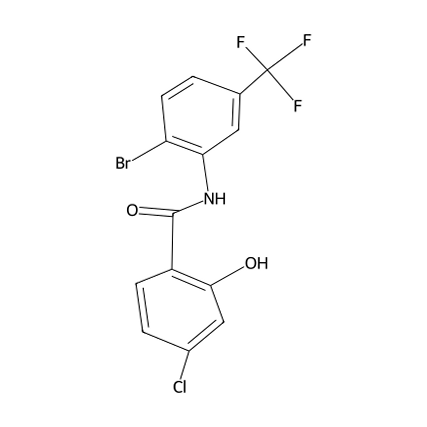 O=C(Nc1cc(C(F)(F)F)ccc1Br)c1ccc(Cl)cc1O